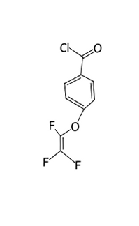 O=C(Cl)c1ccc(OC(F)=C(F)F)cc1